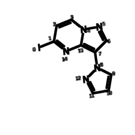 Ic1ccn2ncc(-n3cccn3)c2n1